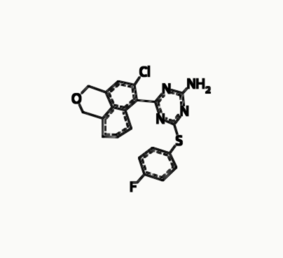 Nc1nc(Sc2ccc(F)cc2)nc(-c2c(Cl)cc3c4c(cccc24)COC3)n1